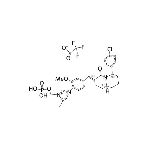 COc1cc(/C=C2\CC[C@H]3CCC[C@@H](c4ccc(Cl)cc4)N3C2=O)ccc1-n1cc(C)[n+](COP(=O)(O)O)c1.O=C([O-])C(F)(F)F